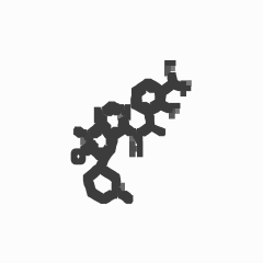 C[C@@H](Nc1ncnc2c1cc(C1CCCN(C)C1)c(=O)n2C)c1cccc(C(F)F)c1F